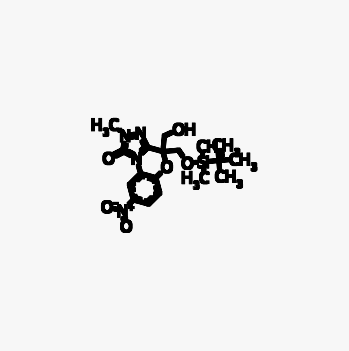 Cn1nc2n(c1=O)-c1cc([N+](=O)[O-])ccc1OC2(CO)CO[Si](C)(C)C(C)(C)C